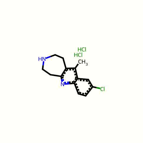 Cc1c2c(nc3ccc(Cl)cc13)CCNCC2.Cl.Cl